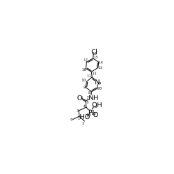 CC(C)CC(C(=O)Nc1ccc(-c2ccc(Cl)cc2)nc1)P(=O)(O)O